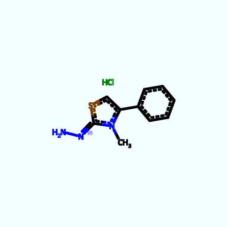 Cl.Cn1c(-c2ccccc2)cs/c1=N\N